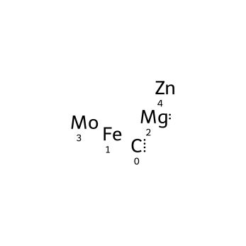 [C].[Fe].[Mg].[Mo].[Zn]